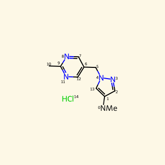 CNc1cnn(Cc2cnc(C)nc2)c1.Cl